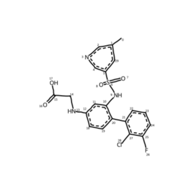 Cc1cncc(S(=O)(=O)Nc2cc(NCC(=O)O)ccc2-c2cccc(F)c2Cl)c1